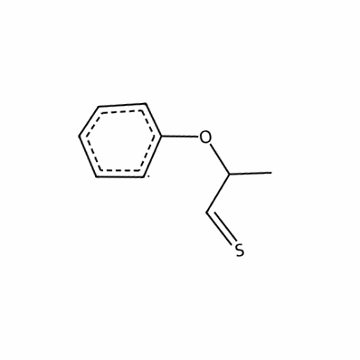 CC(C=S)Oc1[c]cccc1